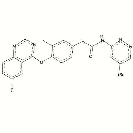 Cc1cc(CC(=O)Nc2cc(C(C)(C)C)cnn2)ccc1Oc1ncnc2ccc(F)cc12